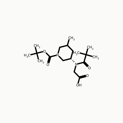 CC1C[C@H](N(CC(=O)O)C(=O)C(C)(C)C)CN(C(=O)OC(C)(C)C)C1